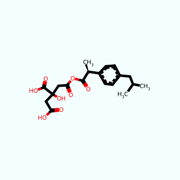 CC(C)Cc1ccc([C@H](C)C(=O)OC(=O)CC(O)(CC(=O)O)C(=O)O)cc1